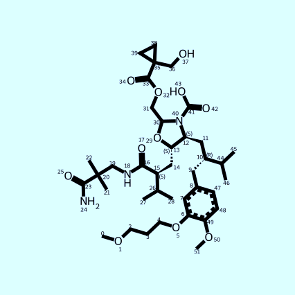 COCCCOc1cc(C[C@H](C[C@H]2[C@H](C[C@H](C(=O)NCC(C)(C)C(N)=O)C(C)C)OC(COC(=O)C3(CO)CC3)N2C(=O)O)C(C)C)ccc1OC